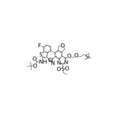 CCS(=O)(=O)c1nc(OCOCC[Si](C)(C)C)c2c3c(c(-c4ccc(F)c5sc(NC(=O)OC(C)(C)C)c(C#N)c45)c(Cl)c2n1)COC3